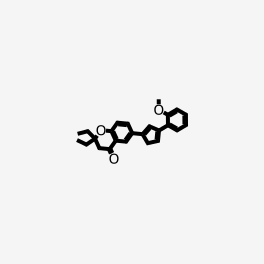 CCC1(CC)CC(=O)c2cc(C3=CC(c4ccccc4OC)=CC3)ccc2O1